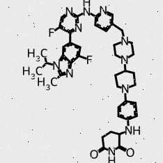 Cc1nc2c(F)cc(-c3nc(Nc4ccc(CN5CCN(C6CCN(c7ccc(NC8CCC(=O)NC8=O)cc7)CC6)CC5)cn4)ncc3F)cc2n1C(C)C